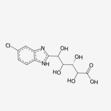 O=C(O)C(O)[C@@H](O)C(O)C(O)c1nc2cc(Cl)ccc2[nH]1